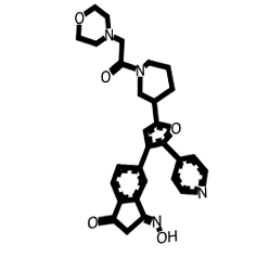 O=C1CC(=NO)c2cc(-c3cc(C4CCCN(C(=O)CN5CCOCC5)C4)oc3-c3ccncc3)ccc21